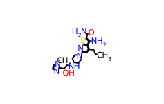 CCCc1cc(N2CCC(NCC(O)c3nccn3C)CC2)nc2sc(C(N)=O)c(N)c12